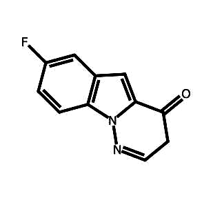 O=C1CC=Nn2c1cc1cc(F)ccc12